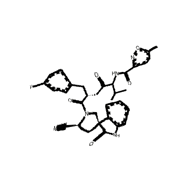 Cc1cc(C(=O)NC(C(=O)C[C@@H](Cc2ccc(F)cc2)C(=O)N2C[C@]3(C[C@H]2C#N)C(=O)Nc2ccccc23)C(C)C)no1